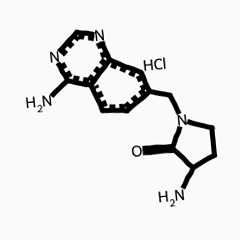 Cl.Nc1ncnc2cc(CN3CCC(N)C3=O)ccc12